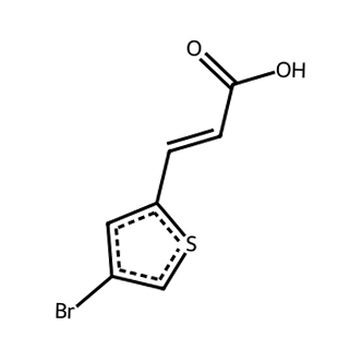 O=C(O)C=Cc1cc(Br)cs1